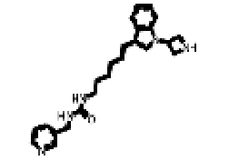 O=C(NCCCCCCC1CN(C2CNC2)c2ccccc21)NCc1cccnc1